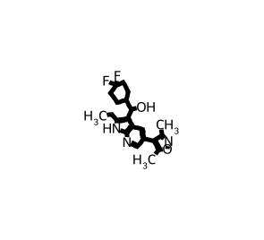 CCc1[nH]c2ncc(-c3c(C)noc3C)cc2c1C(O)C1CCC(F)(F)CC1